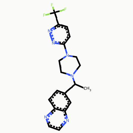 CC(c1ccc2nccnc2c1)N1CCN(c2ccc(C(F)(F)F)nn2)CC1